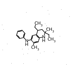 CCC1CC(C)(CC)Nc2cc(C)c(Nc3ccccc3)cc21